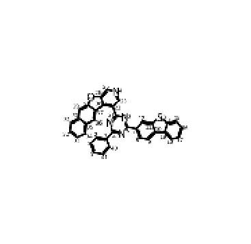 c1ccc(-c2nc(-c3ccc4c(c3)sc3ccccc34)nc(-c3cncc4oc5cc6ccccc6cc5c34)n2)cc1